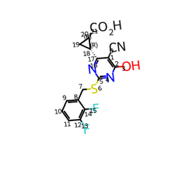 N#Cc1c(O)nc(SCc2cccc(F)c2F)nc1[C@@H]1C[C@H]1C(=O)O